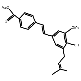 COC(=O)c1ccc(/C=C/c2cc(CC=C(C)C)c(O)c(OC)c2)cc1